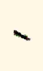 CCCOc1ccc(C2CCC(CCc3ccc(-c4ccc(OCC)c(F)c4F)c(F)c3F)CC2)c(F)c1F